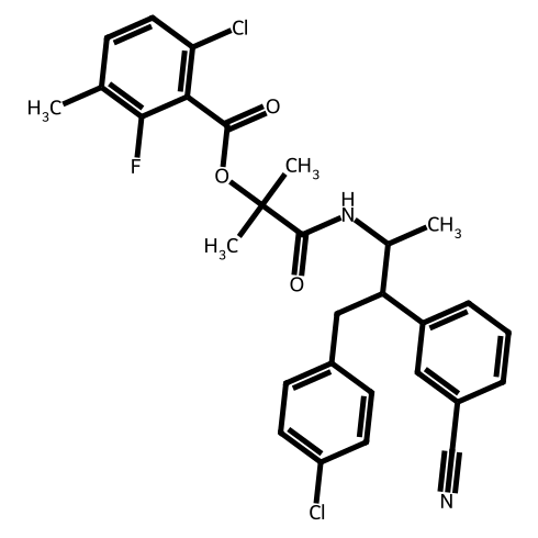 Cc1ccc(Cl)c(C(=O)OC(C)(C)C(=O)NC(C)C(Cc2ccc(Cl)cc2)c2cccc(C#N)c2)c1F